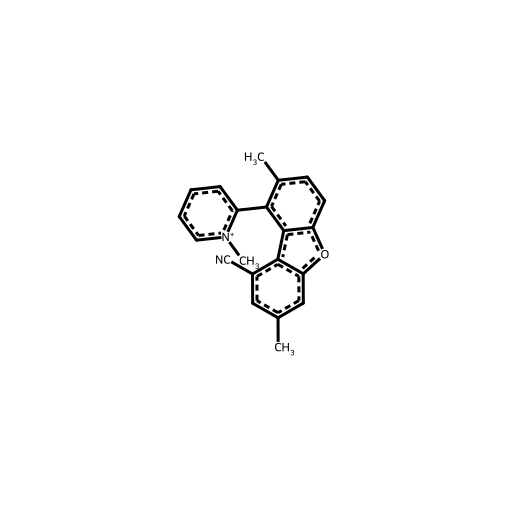 Cc1cc(C#N)c2c(c1)oc1ccc(C)c(-c3cccc[n+]3C)c12